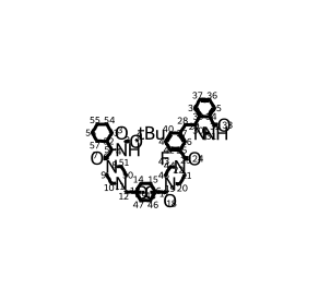 CC(C)(C)OC(=O)N[C@@H](C(=O)N1CCN(CC23CCC(C(=O)N4CCN(C(=O)c5cc(Cc6n[nH]c(=O)c7ccccc67)ccc5F)CC4)(CC2)CO3)CC1)C1CCCCC1